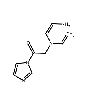 C=CN(/C=C\N)CC(=O)n1ccnc1